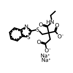 CCNC(=O)C(CSc1nc2ccccc2s1)(CC(=O)[O-])C(=O)[O-].[Na+].[Na+]